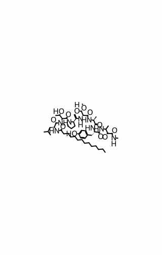 C=C(N[C@H](C(=O)N[C@@H](C)C(=O)N[C@@H](Cc1ccc(O)cc1)C(=O)NC(C)C(=O)C(=O)NC)C(O)OC)[C@H]1CCCN1C(=O)C(NC(=O)[C@H](CC(C)C)NC(=O)CCCCCCCCCCCCC)C(C)O